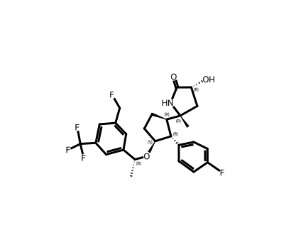 C[C@@H](O[C@H]1CC[C@@H]([C@@]2(C)C[C@@H](O)C(=O)N2)[C@@H]1c1ccc(F)cc1)c1cc(CF)cc(C(F)(F)F)c1